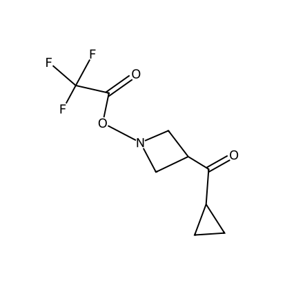 O=C(C1CC1)C1CN(OC(=O)C(F)(F)F)C1